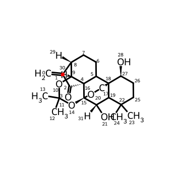 C=C1C(=O)[C@@]23C4CC[C@@H]1[C@H]2OC(C)(C)O[C@]31OC[C@@]42C([C@@H]1O)C(C)(C)CC[C@@H]2O